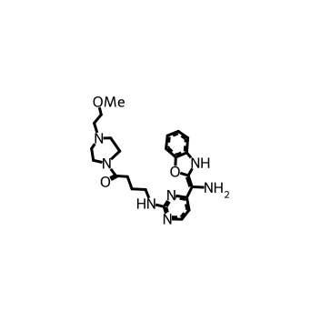 COCCN1CCN(C(=O)CCCNc2nccc(/C(N)=C3/Nc4ccccc4O3)n2)CC1